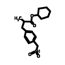 CC(Cc1ccc(C[SH](=O)=O)cc1)C(=O)OC1CCCCC1